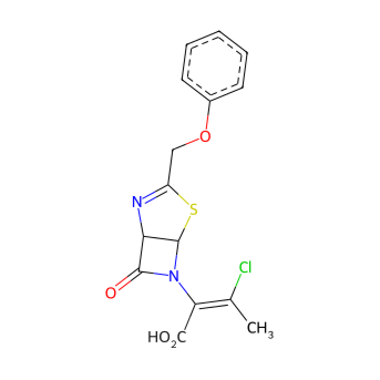 CC(Cl)=C(C(=O)O)N1C(=O)C2N=C(COc3ccccc3)SC21